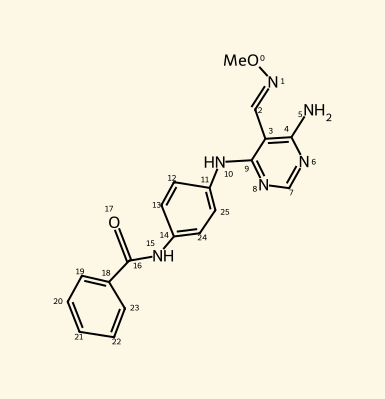 CO/N=C/c1c(N)ncnc1Nc1ccc(NC(=O)c2ccccc2)cc1